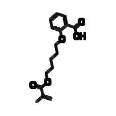 C=C(C)C(=O)OCCCCCOc1ccccc1C(=O)O